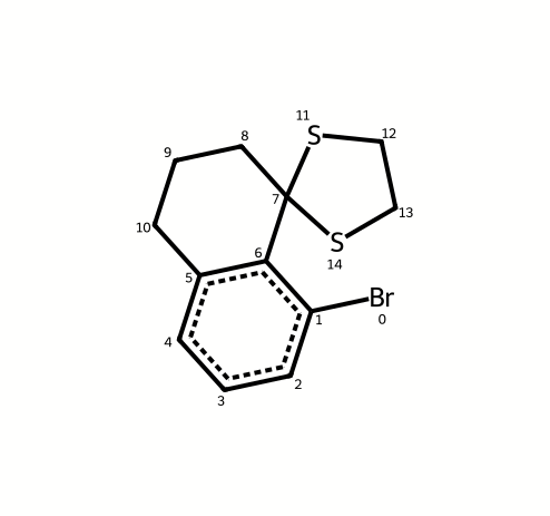 Brc1cccc2c1C1(CCC2)SCCS1